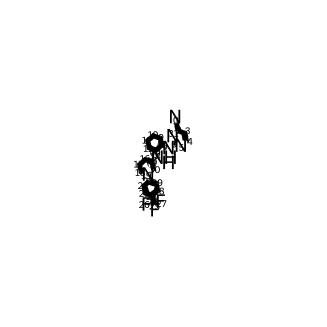 N#Cc1ccnc(N[C@@H]2CCCC[C@H]2N[C@H]2CCCN(c3ccc(C(F)(F)F)cc3)C2)n1